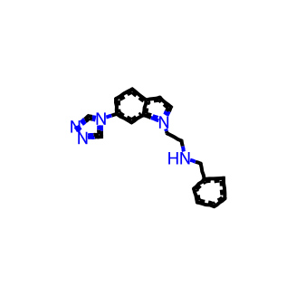 c1ccc(CNCCn2ccc3ccc(-n4cnnc4)cc32)cc1